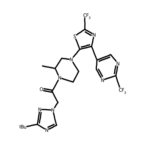 CC1CN(c2sc(C(F)(F)F)nc2-c2cnc(C(F)(F)F)nc2)CCN1C(=O)Cn1cnc(C(C)(C)C)n1